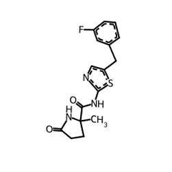 CC1(C(=O)Nc2ncc(Cc3cccc(F)c3)s2)CCC(=O)N1